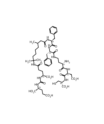 CC(CCCCC(C)(C)NC(=O)CC[C@H](NC(=O)N[C@@H](CCC(=O)O)C(=O)O)C(=O)O)CC(=O)N[C@@H](Cc1ccccc1)C(=O)N[C@@H](Cc1ccccc1)C(=O)NCC[C@H](N)C(=O)N[C@@H](CC(=O)O)C(=O)N[C@@H](CS)C(=O)O